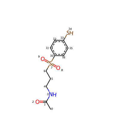 CC(=O)NCCCS(=O)(=O)c1ccc(S)cc1